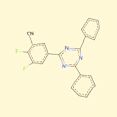 N#Cc1cc(-c2nc(-c3ccccc3)nc(-c3ccccc3)n2)cc(F)c1F